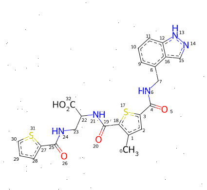 Cc1cc(C(=O)NCc2cccc3[nH]ncc23)sc1C(=O)NC(CNC(=O)c1cccs1)C(=O)O